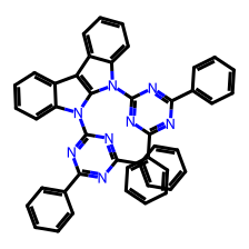 c1ccc(-c2nc(-c3ccccc3)nc(-n3c4ccccc4c4c5ccccc5n(-c5nc(-c6ccccc6)nc(-c6ccccc6)n5)c43)n2)cc1